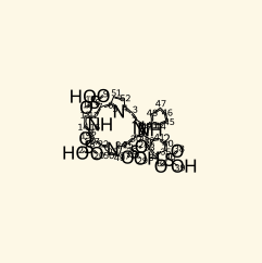 Nn1c2cc3nc(c(S(=O)(=O)O)c4ccc([nH]4)c(S(=O)(=O)O)c4nc(c(S(=O)(=O)O)c1c(-c1ccc(S(=O)(=O)O)cc1)c2-c1ccccc1)C=C4)C=C3